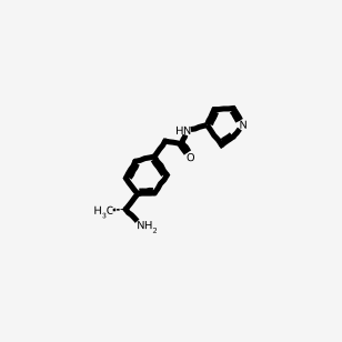 C[C@@H](N)c1ccc(CC(=O)Nc2ccncc2)cc1